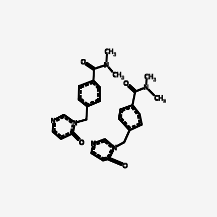 CN(C)C(=O)c1ccc(Cn2cnccc2=O)cc1.CN(C)C(=O)c1ccc(Cn2cnccc2=O)cc1